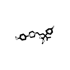 COC(=O)C(CCCN1CCN(c2ccc(OC)cc2)CC1)(c1ccc(F)cc1)C(C)C